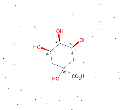 O=C(O)[C@]1(O)C[C@@H](O)[C@@H](O)[C@@H](O)C1